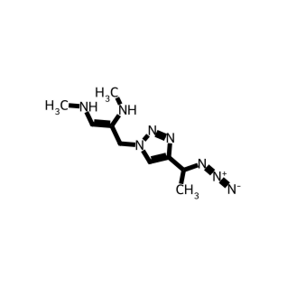 CN/C=C(/Cn1cc(C(C)N=[N+]=[N-])nn1)NC